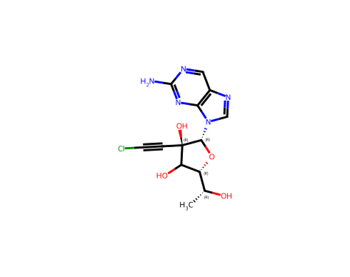 C[C@@H](O)[C@H]1O[C@@H](n2cnc3cnc(N)nc32)[C@@](O)(C#CCl)C1O